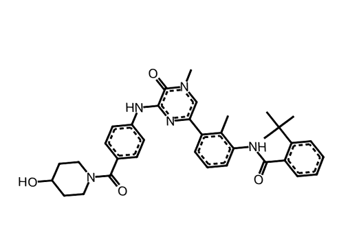 Cc1c(NC(=O)c2ccccc2C(C)(C)C)cccc1-c1cn(C)c(=O)c(Nc2ccc(C(=O)N3CCC(O)CC3)cc2)n1